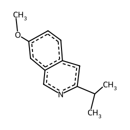 COc1ccc2cc(C(C)C)ncc2c1